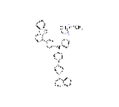 C=C/C(=C\C=C/C)c1cccc(N(c2ccc(-c3ccc(-c4cccc5ccccc45)cc3)cc2)c2ccc(-c3cccc4c3oc3ccccc34)cc2)c1